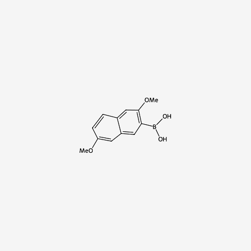 COc1ccc2cc(OC)c(B(O)O)cc2c1